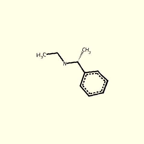 CC[N][C@H](C)c1ccccc1